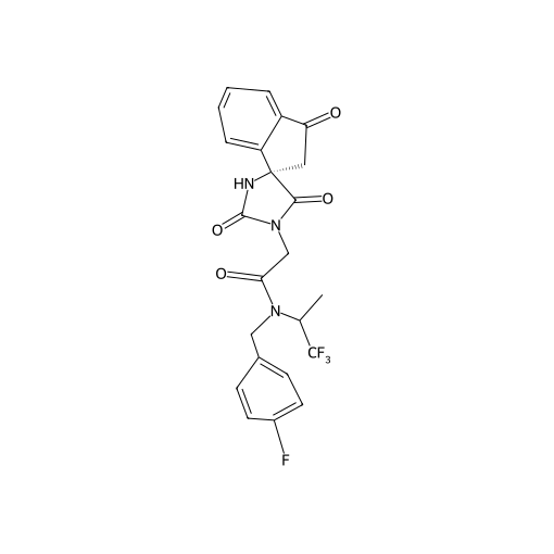 CC(N(Cc1ccc(F)cc1)C(=O)CN1C(=O)N[C@]2(CC(=O)c3ccccc32)C1=O)C(F)(F)F